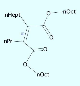 CCCCCCCCOC(=O)/C(CCC)=C(/CCCCCCC)C(=O)OCCCCCCCC